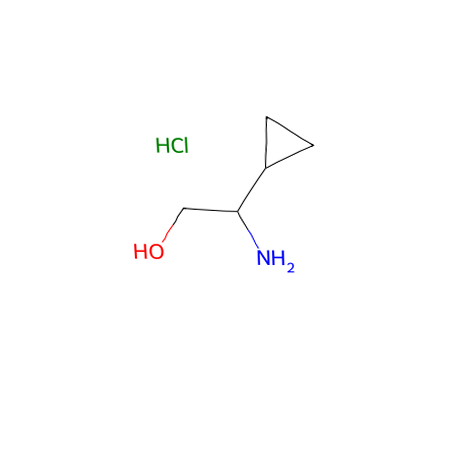 Cl.NC(CO)C1CC1